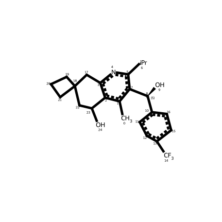 Cc1c2c(nc(C(C)C)c1[C@@H](O)c1ccc(C(F)(F)F)cc1)CC1(CCC1)CC2O